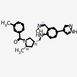 C/N=C\c1cc(-c2cn[nH]c2)ccc1NC[C@@H]1C[C@H](C)N(C(=O)c2cccc(C)c2)C1